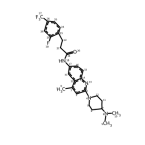 Cc1cc(N2CCC(N(C)C)CC2)nc2ccc(NC(=O)CCc3ccc(C(F)(F)F)cc3F)cc12